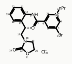 CCC[n+]1cc(Br)cc(C(=O)Nc2ccccc2CCN2CCOC2=O)c1.[Cl-]